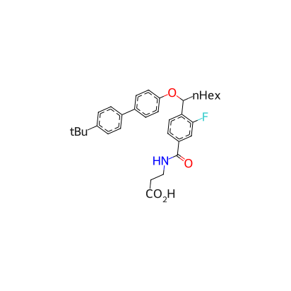 CCCCCCC(Oc1ccc(-c2ccc(C(C)(C)C)cc2)cc1)c1ccc(C(=O)NCCC(=O)O)cc1F